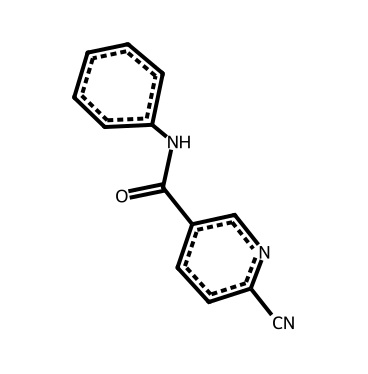 N#Cc1ccc(C(=O)Nc2ccccc2)cn1